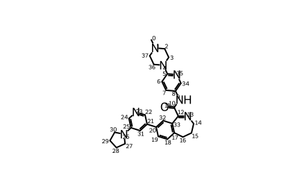 CN1CCN(c2ccc(NC(=O)C3=NCCCc4ccc(-c5cncc(N6CCCC6)c5)cc43)cn2)CC1